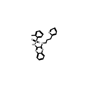 Cc1ccccc1S(=O)(=O)Nc1nc2ccccc2nc1OCCCc1ccccn1